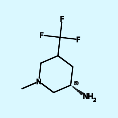 CN1CC(C(F)(F)F)C[C@H](N)C1